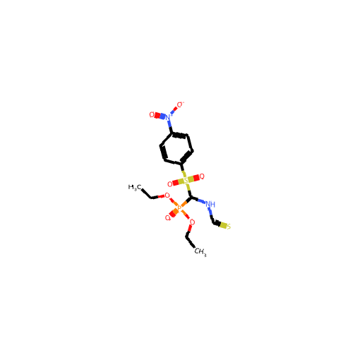 CCOP(=O)(OCC)C(NC=S)S(=O)(=O)c1ccc([N+](=O)[O-])cc1